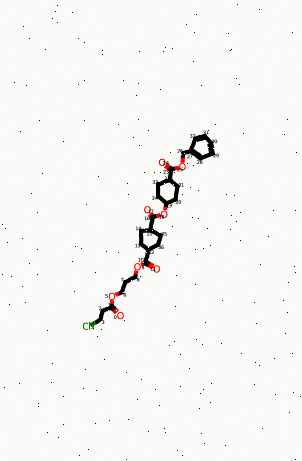 O=C(CCCl)OCCCOC(=O)C1CCC(C(=O)OC2CCC(C(=O)OCc3ccccc3)CC2)CC1